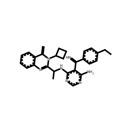 C=C1c2ccccc2N=C(C(C)Nc2ncnc(N)c2C(=N)c2ccc(CC)cc2)N1C1CCC1